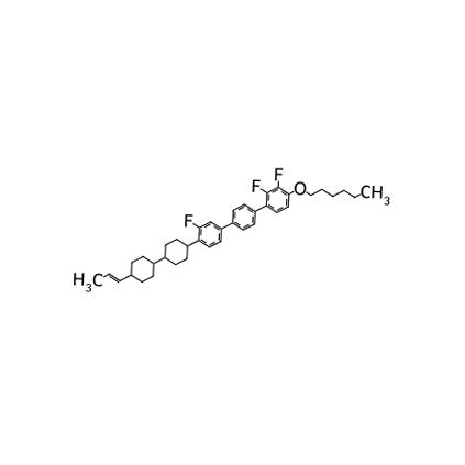 C/C=C/C1CCC(C2CCC(c3ccc(-c4ccc(-c5ccc(OCCCCCC)c(F)c5F)cc4)cc3F)CC2)CC1